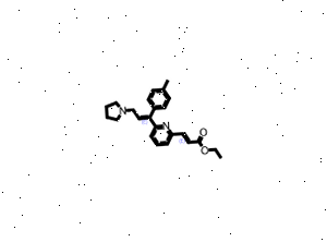 CCOC(=O)/C=C/c1cccc(/C(=C/CN2CCCC2)c2ccc(C)cc2)n1